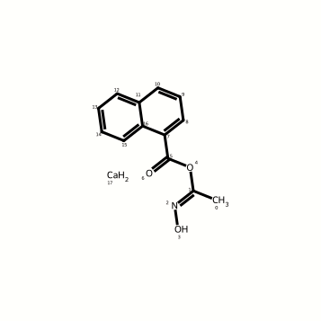 CC(=NO)OC(=O)c1cccc2ccccc12.[CaH2]